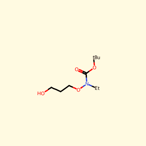 CCN(OCCCO)C(=O)OC(C)(C)C